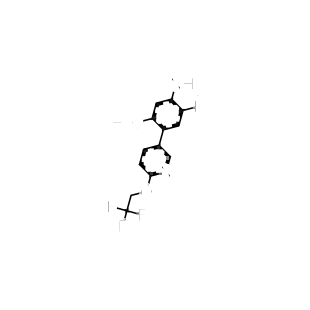 Cc1cc(N)c(F)cc1-c1ccc(OCC(F)(F)F)nc1